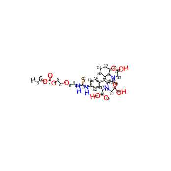 COC(=O)OCCOCCNC(=S)Nc1ccc(C[C@@H](CN(CC(=O)O)C2CCCCC2)N(CC(=O)O)CC(=O)O)cc1